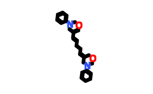 C1=CC(N2COC/C(=C\CC/C=C/C3=COCN(c4ccccc4)C3)C2)=CCC1